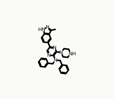 Cc1n[nH]c2ccc(-c3cnc(N(Cc4ccccc4)Cc4ccccc4)c(N4CCNCC4)n3)cc12